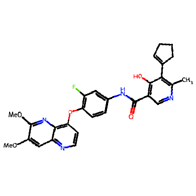 COc1cc2nccc(Oc3ccc(NC(=O)c4cnc(C)c(C5=CCCC5)c4O)cc3F)c2nc1OC